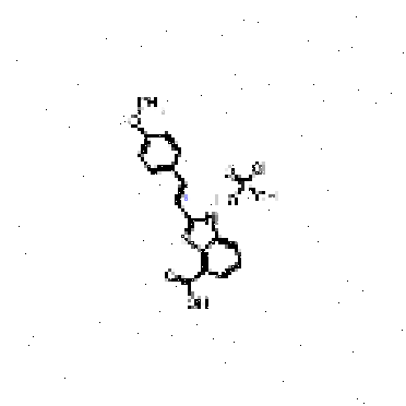 COc1ccc(/C=C/c2nc3c(C(=O)O)cccc3[nH]2)cc1.O=P(O)(O)O